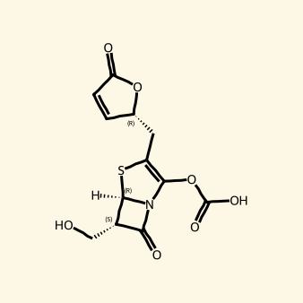 O=C(O)OC1=C(C[C@@H]2C=CC(=O)O2)S[C@@H]2[C@@H](CO)C(=O)N12